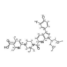 COCC(COC)n1cc(-c2ccc(Cl)c(F)c2)c2ccc(C(=O)N3CCN(c4cc(C)c(C(=O)O)c(C)n4)CC3(C)C)nc21